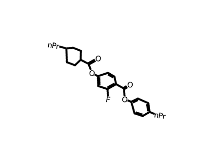 CCCc1ccc(OC(=O)c2ccc(OC(=O)C3CCC(CCC)CC3)cc2F)cc1